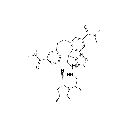 C=C(CN[C@@H](C)CC1(c2nnn[nH]2)c2ccc(C(=O)N(C)C)cc2CCc2cc(C(=O)N(C)C)ccc21)N1C(C#N)C[C@H](C)C1C